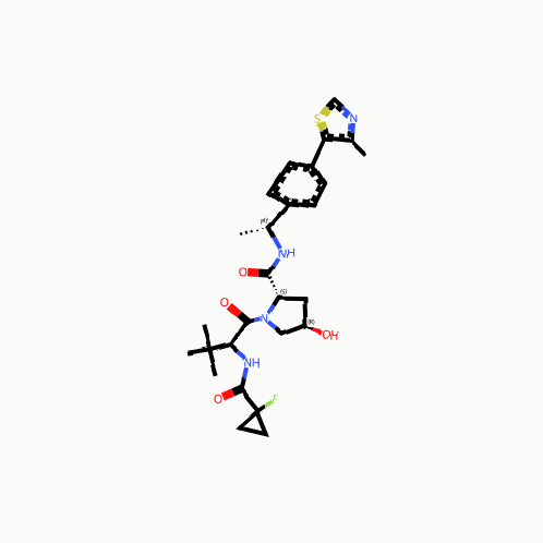 Cc1ncsc1-c1ccc([C@@H](C)NC(=O)[C@@H]2C[C@@H](O)CN2C(=O)C(NC(=O)C2(F)CC2)C(C)(C)C)cc1